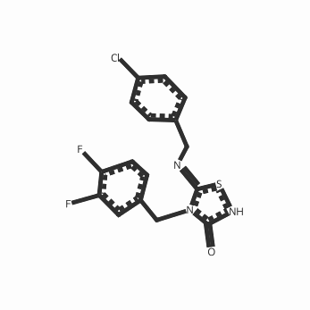 O=c1[nH]s/c(=N\Cc2ccc(Cl)cc2)n1Cc1ccc(F)c(F)c1